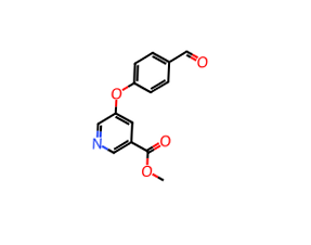 COC(=O)c1cncc(Oc2ccc(C=O)cc2)c1